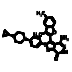 Cc1ccc2oc(-c3c4c(N)n[nH]c(=O)c4nn3-c3ccc(N4CCN(C5CC5)CC4)cc3)c(C)c2c1